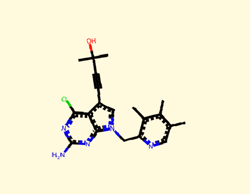 Cc1cnc(Cn2cc(C#CC(C)(C)O)c3c(Cl)nc(N)nc32)c(C)c1C